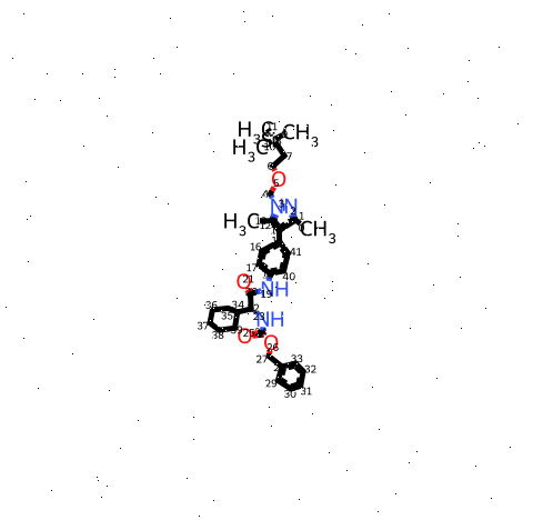 Cc1nn(COCC[Si](C)(C)C)c(C)c1-c1ccc(NC(=O)[C@@H](NC(=O)OCc2ccccc2)C2CCCCC2)cc1